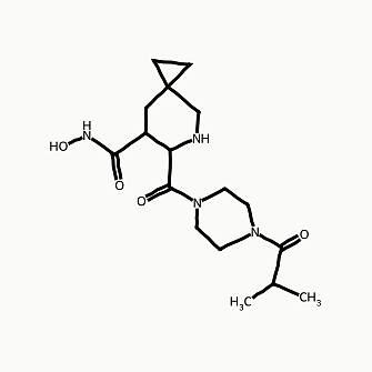 CC(C)C(=O)N1CCN(C(=O)C2NCC3(CC3)CC2C(=O)NO)CC1